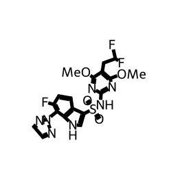 COc1nc(NS(=O)(=O)c2c[nH]c3c(-n4nccn4)c(F)ccc23)nc(OC)c1CC(F)F